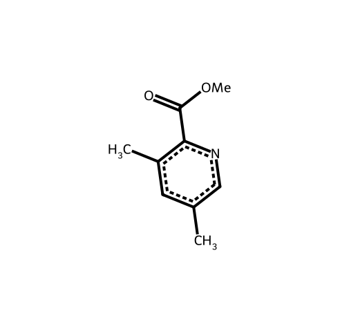 COC(=O)c1ncc(C)cc1C